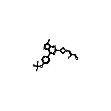 Cn1cnc2c(-c3ccc(OC(F)(F)F)cc3)nc(C3CN(C=C(F)C=O)C3)nc21